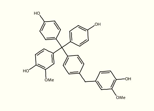 COc1cc(Cc2ccc(C(c3ccc(O)cc3)(c3ccc(O)cc3)c3ccc(O)c(OC)c3)cc2)ccc1O